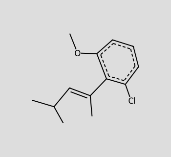 COc1cccc(Cl)c1/C(C)=C/C(C)C